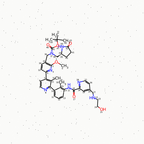 COc1nc(-c2ccnc(-c3cccc(NC(=O)c4cc(CNCCO)ccn4)c3C)c2C)ccc1CN(C[C@@H]1CCC(=O)N1)C(=O)OC(C)(C)C